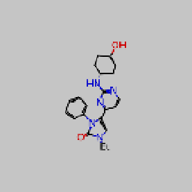 CCn1cc(-c2ccnc(N[C@H]3CC[C@H](O)CC3)n2)n(-c2ccccc2)c1=O